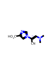 CN(C)/C=C(\C#N)n1cnc(C(=O)O)c1